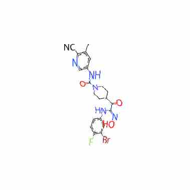 Cc1cc(NC(=O)N2CCC(C(=O)/C(=N/O)Nc3ccc(F)c(Br)c3)CC2)cnc1C#N